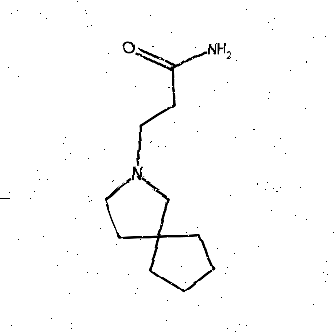 NC(=O)CCN1CCC2(CCCC2)C1